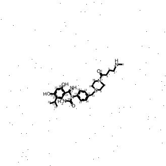 CNCCCC(=O)N1CCN(Cc2ccc(N(C(=N)c3cc(C(C)C)c(O)cc3O)C(N)=O)cc2)CC1